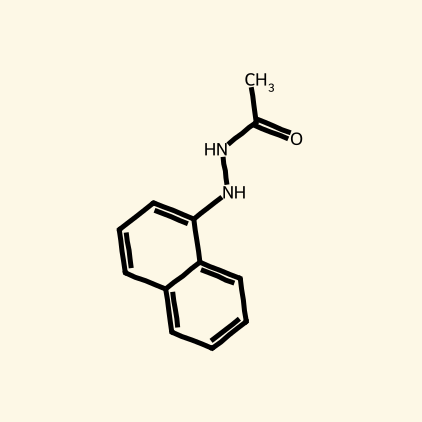 CC(=O)NNc1cccc2ccccc12